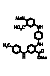 CNc1ccc(Nc2ccc(Nc3ccc(Nc4ccc(C)cc4)cc3C(=O)OC)cc2)cc1C(=O)O